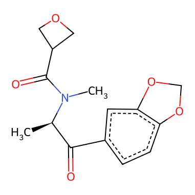 C[C@H](C(=O)c1ccc2c(c1)OCO2)N(C)C(=O)C1COC1